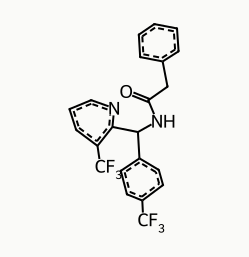 O=C(Cc1ccccc1)NC(c1ccc(C(F)(F)F)cc1)c1ncccc1C(F)(F)F